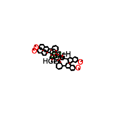 COc1ccc2cc(C3C=CC=CC4=C3C=C(C)[C]43[GeH]([CH3])[C]4(C(C)=CC5=C4C=CC=CC5c4ccc5cc(OC)ccc5c4)[Zr]34([Cl])([Cl])[C]3(C(C)=CC5=C3C=CC=CC5c3ccc5cc(OC)ccc5c3)[GeH]([CH3])[C]43C(C)=CC4=C3C=CC=CC4c3ccc4cc(OC)ccc4c3)ccc2c1